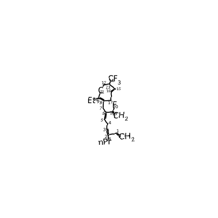 C=C/C(=C\C/C=C(/C/C1=C(\CC)CCC(C(F)(F)F)/C=C/C1)C(=C)F)CCC